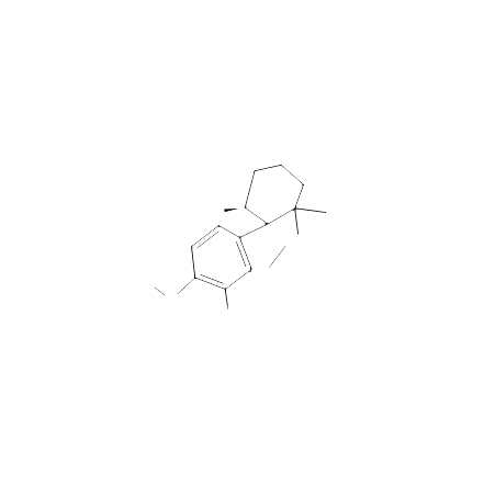 C[C@H]1CCCC(C)(C)[C@@]1(CO)c1ccc(OC(F)(F)F)c(F)c1